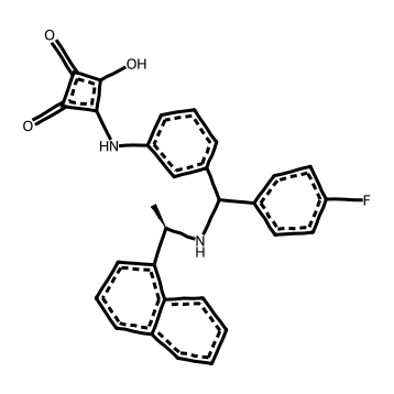 C[C@@H](NC(c1ccc(F)cc1)c1cccc(Nc2c(O)c(=O)c2=O)c1)c1cccc2ccccc12